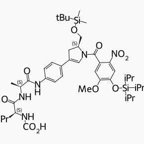 COc1cc(C(=O)N2C=C(c3ccc(NC(=O)[C@H](C)NC(=O)[C@@H](NC(=O)O)C(C)C)cc3)C[C@H]2CO[Si](C)(C)C(C)(C)C)c([N+](=O)[O-])cc1O[Si](C(C)C)(C(C)C)C(C)C